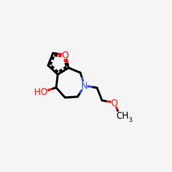 COCCN1CCC(O)c2ccoc2C1